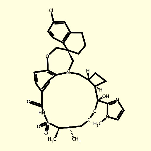 C[C@@H]1[C@@H](C)CCC[C@@](O)(c2nccn2C)[C@@H]2CC[C@H]2CN2C[C@@]3(CCCc4cc(Cl)ccc43)COc3ccc(cc32)C(=O)NS1(=O)=O